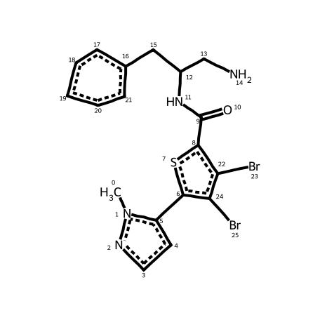 Cn1nccc1-c1sc(C(=O)NC(CN)Cc2ccccc2)c(Br)c1Br